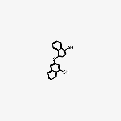 Sc1cc(Sc2ccc(S)c3ccccc23)cc2ccccc12